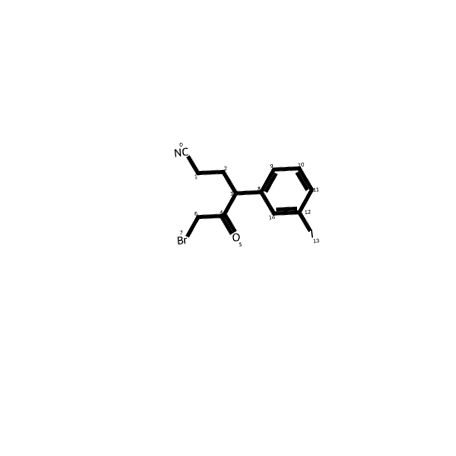 N#CCCC(C(=O)CBr)c1cccc(I)c1